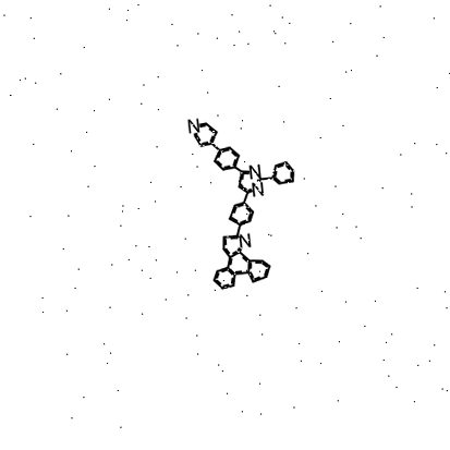 c1ccc(-c2nc(-c3ccc(-c4ccncc4)cc3)cc(-c3ccc(-c4ccc5c6ccccc6c6ccccc6c5n4)cc3)n2)cc1